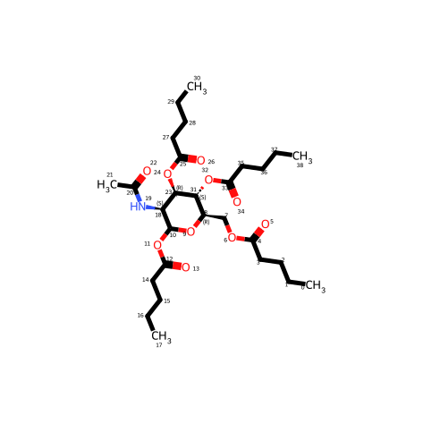 CCCCC(=O)OC[C@H]1OC(OC(=O)CCCC)[C@@H](NC(C)=O)[C@@H](OC(=O)CCCC)[C@@H]1OC(=O)CCCC